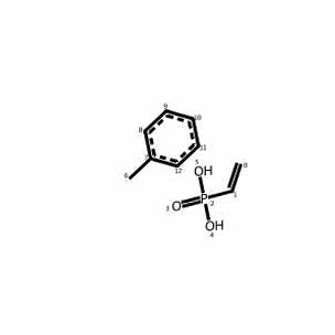 C=CP(=O)(O)O.Cc1ccccc1